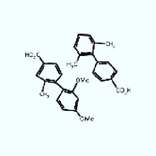 COc1ccc(-c2ccc(C(=O)O)cc2C)c(OC)c1.Cc1cccc(C)c1-c1ccc(C(=O)O)cc1